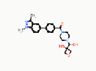 Cc1nn(C)c2ccc(-c3ccc(C(=O)N4CCN(C(O)C5(O)COC5)CC4)cc3)cc12